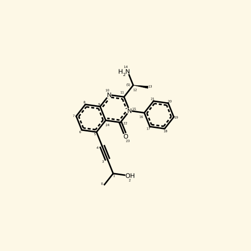 CC(O)C#Cc1cccc2nc([C@H](C)N)n(-c3ccccc3)c(=O)c12